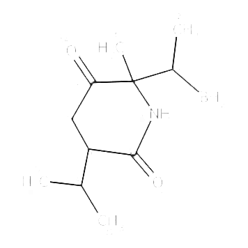 BC(C)C1(C)NC(=O)C(C(C)C)CC1=O